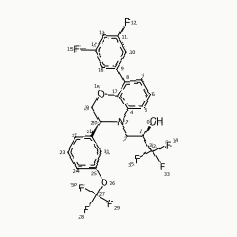 O[C@H](CN1c2cccc(-c3cc(F)cc(F)c3)c2OC[C@@H]1c1cccc(OC(F)(F)F)c1)C(F)(F)F